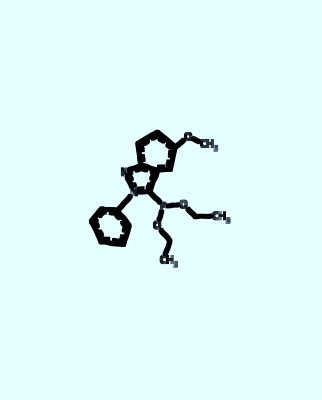 CCOP(OCC)c1c2cc(OC)ccc2nn1-c1ccccc1